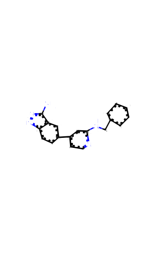 Nc1n[nH]c2ccc(-c3ccnc(NCc4ccccc4)c3)cc12